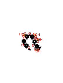 CCOc1ccc(C(=O)c2ccc(Oc3ccc(C(=O)c4ccc(Oc5ccc(C(=O)c6ccc(C(C)C)c(S(=O)(=O)O)c6)cc5S(=O)(=O)O)c(S(=O)(=O)O)c4)cc3S(=O)(=O)O)cc2)cc1